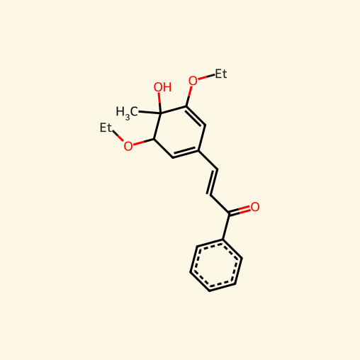 CCOC1=CC(C=CC(=O)c2ccccc2)=CC(OCC)C1(C)O